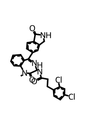 CN1C(=O)C(NC(=O)CCc2ccc(Cl)cc2Cl)N=C(c2ccc3c(c2)CNC3=O)c2ccccc21